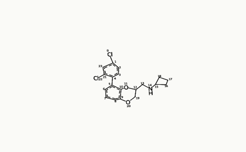 Clc1ccc(-c2cccc3c2OC(CNC2CCC2)CO3)c(Cl)c1